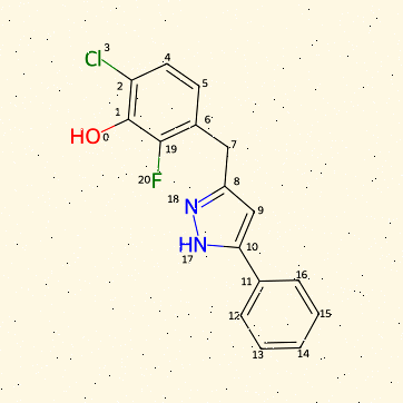 Oc1c(Cl)ccc(Cc2cc(-c3ccccc3)[nH]n2)c1F